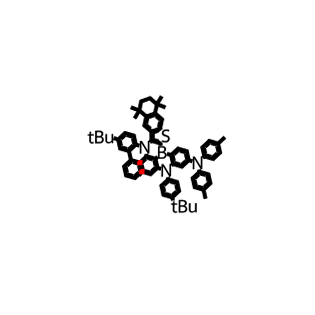 Cc1ccc(N(c2ccc(C)cc2)c2ccc3c(c2)N(c2ccc(C(C)(C)C)cc2)c2cc(C)cc4c2B3c2sc3cc5c(cc3c2N4c2ccc(C(C)(C)C)cc2-c2ccccc2)C(C)(C)CCC5(C)C)cc1